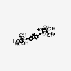 CC1(C)c2cc(C#C[C@H]3O[C@H](CO)[C@@H](O)[C@H](O)[C@H]3O)ccc2-c2ccc(C#C[C@H]3O[C@H](CO)[C@@H](O)[C@H](O)[C@@H]3O)cc21